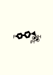 CC(C)S(=O)(=O)N[C@@H]1C[C@H]1c1ccc(-c2ccc(F)cc2)cc1